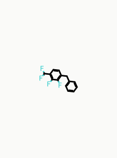 F[C](F)c1ccc(Cc2ccccc2)c(F)c1F